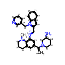 C=C(c1cc2c(c(/N=C/c3cc4ccccc4n3Cc3cccnc3)c1)N(C)CCC2)N1CCCC(N)C1